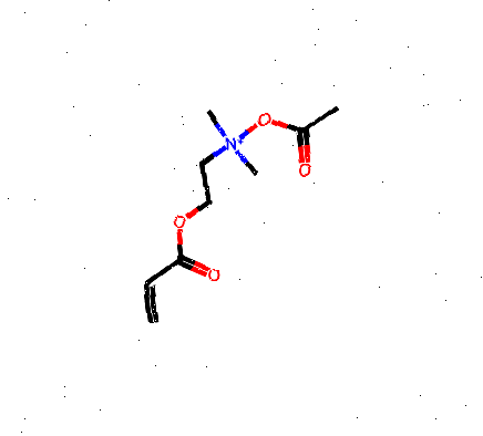 C=CC(=O)OCC[N+](C)(C)OC(C)=O